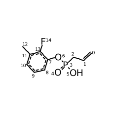 C=CCP(=O)(O)Oc1cccc(C)c1F